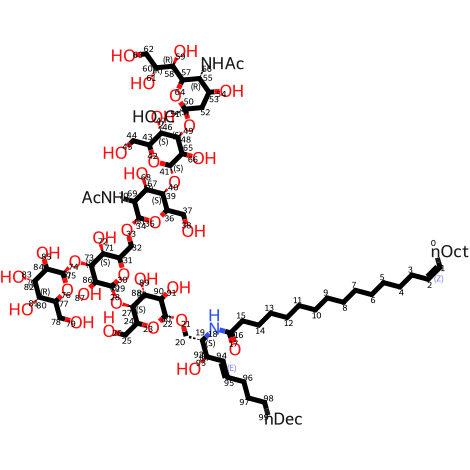 CCCCCCCC/C=C\CCCCCCCCCCCCCC(=O)N[C@@H](CO[C@@H]1OC(CO)[C@@H](O[C@@H]2OC(CO[C@@H]3OC(CO)[C@@H](O[C@@H]4OC(CO)[C@H](O)[C@H](O[C@]5(C(=O)O)CC(O)[C@@H](NC(C)=O)C([C@H](O)[C@H](O)CO)O5)C4O)[C@H](O)C3NC(C)=O)[C@H](O)[C@H](O[C@H]3OC(CO)[C@H](O)[C@H](O)C3O)C2O)[C@H](O)C1O)[C@H](O)/C=C/CCCCCCCCCCCCC